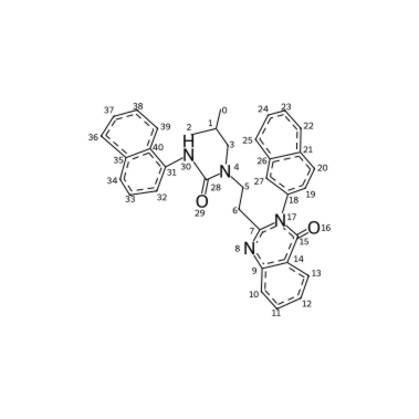 CC(C)CN(CCc1nc2ccccc2c(=O)n1-c1ccc2ccccc2c1)C(=O)Nc1cccc2ccccc12